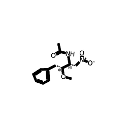 CO[C@H](Cc1ccccc1)[C@@H](C[N+](=O)[O-])NC(C)=O